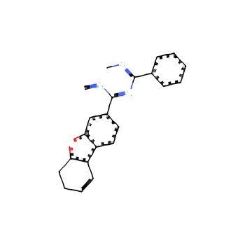 C=N/C(=N\C(=N/C)c1ccccc1)c1ccc2c3c(oc2c1)CCC=C3